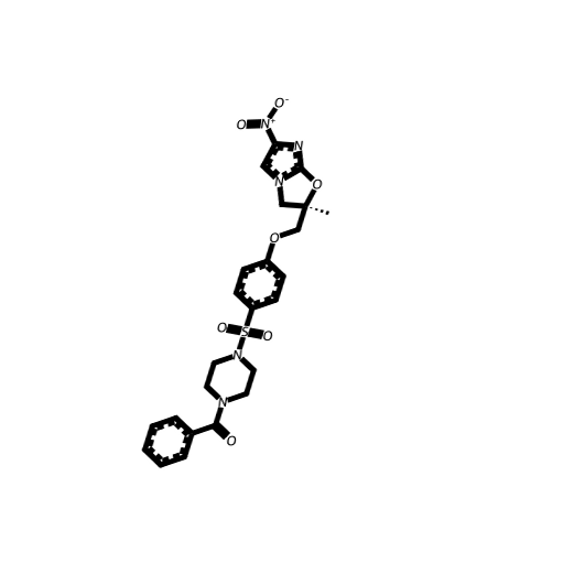 C[C@]1(COc2ccc(S(=O)(=O)N3CCN(C(=O)c4ccccc4)CC3)cc2)Cn2cc([N+](=O)[O-])nc2O1